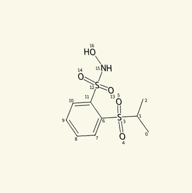 CC(C)S(=O)(=O)c1ccccc1S(=O)(=O)NO